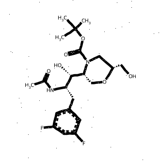 CC(=O)N[C@@H](Cc1cc(F)cc(F)c1)[C@H](O)[C@H]1CO[C@@H](CO)CN1C(=O)OC(C)(C)C